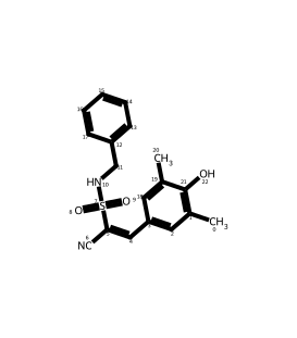 Cc1cc(C=C(C#N)S(=O)(=O)NCc2ccccc2)cc(C)c1O